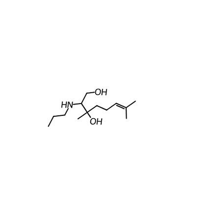 CCCNC(CO)C(C)(O)CCC=C(C)C